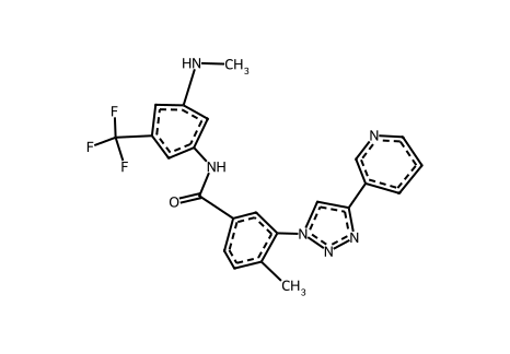 CNc1cc(NC(=O)c2ccc(C)c(-n3cc(-c4cccnc4)nn3)c2)cc(C(F)(F)F)c1